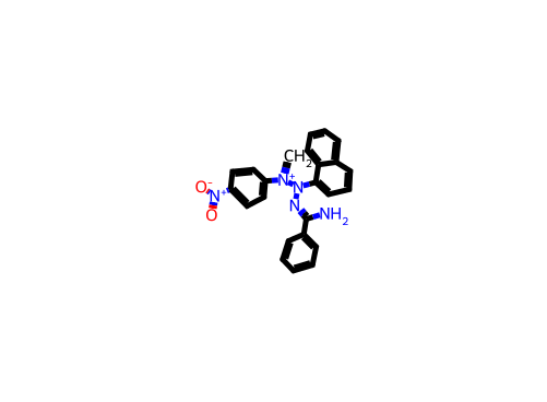 C=[N+](c1ccc([N+](=O)[O-])cc1)N(/N=C(\N)c1ccccc1)c1cccc2ccccc12